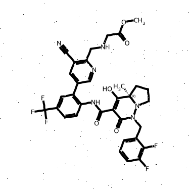 COC(=O)CNCc1ncc(-c2cc(C(F)(F)F)ccc2NC(=O)C2=C(O)[C@@]3(C)CCCN3N(Cc3cccc(F)c3F)C2=O)cc1C#N